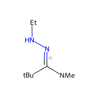 CCN/N=C(/NC)C(C)(C)C